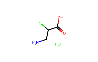 Cl.NCC(Cl)C(=O)O